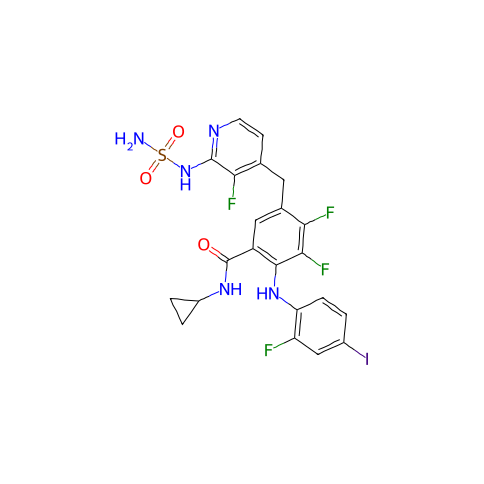 NS(=O)(=O)Nc1nccc(Cc2cc(C(=O)NC3CC3)c(Nc3ccc(I)cc3F)c(F)c2F)c1F